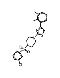 Cc1cccc(-c2csc(N3CCC(S(=O)(=O)c4cccc(Cl)c4)CC3)n2)c1C